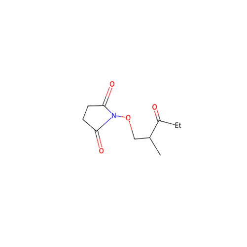 CCC(=O)C(C)CON1C(=O)CCC1=O